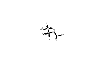 O=S(=O)(O)S(=O)(=O)NC(Cl)Cl